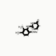 COc1ccc(N)c(N)c1Nc1nccc(=O)[nH]1